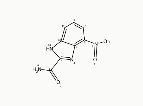 NC(=O)c1nc2c([N+](=O)[O-])cccc2[nH]1